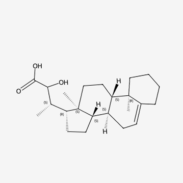 C[C@H](C(O)C(=O)O)[C@H]1CC[C@H]2[C@@H]3CC=C4CCCC[C@]4(C)[C@H]3CC[C@]12C